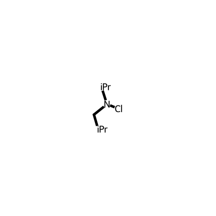 CC(C)CN(Cl)C(C)C